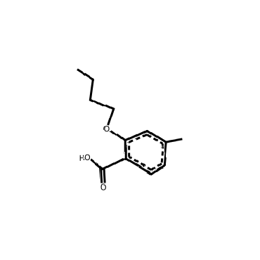 CCCCOc1cc(C)ccc1C(=O)O